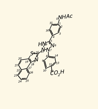 CC(=O)Nc1ccc(C2=NN(c3ccc(C(=O)O)cc3)N(c3nc4c(ccc5ccccc54)s3)N2)cc1